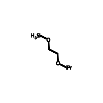 CC(C)OCCO[SiH3]